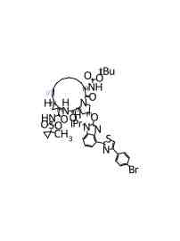 CC(C)n1c(O[C@@H]2C[C@H]3C(=O)N[C@]4(C(=O)NS(=O)(=O)C5(C)CC5)C[C@H]4/C=C\CCCCC[C@H](NC(=O)OC(C)(C)C)C(=O)N3C2)nc2c(-c3nc(-c4ccc(Br)cc4)cs3)cccc21